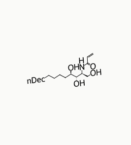 C=CC(=O)N[C@@H](CO)[C@H](O)[C@H](O)CCCCCCCCCCCCCC